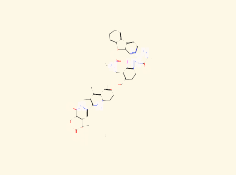 CCc1c2c(nc3ccc(OCc4ccc(NC(=O)[C@H](C)N)cc4CN(CC)C(=O)OC4c5ccccc5-c5ccccc54)cc13)-c1cc3c(c(=O)n1C2)COC(=O)[C@]3(O)CC